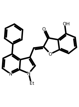 CCn1cc(/C=C2\Oc3cccc(O)c3C2=O)c2c(-c3ccccc3)ccnc21